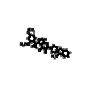 COc1ccc(C2(c3n[nH]c4nc(N5CCC6(CC5)Cc5ccccc5[C@H]6N)[nH]c(=O)c34)CC2)c(OC)c1